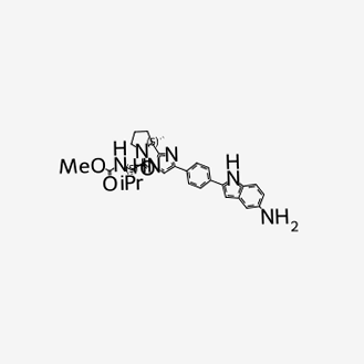 COC(=O)N[C@H](C(=O)N1CCC[C@@]1(C)c1nc(-c2ccc(-c3cc4cc(N)ccc4[nH]3)cc2)c[nH]1)C(C)C